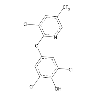 Oc1c(Cl)cc(Oc2ncc(C(F)(F)F)cc2Cl)cc1Cl